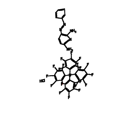 Cl.Fc1c(F)c(F)c([B-](c2c(F)c(F)c(F)c(F)c2F)(c2c(F)c(F)c(F)c(F)c2F)c2c(F)c(F)c(F)c(F)c2F)c(F)c1F.Nc1ccc(/N=N/c2ccccc2)c(N)n1